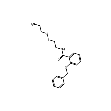 NCCSSCCNC(=O)c1ccccc1OCc1ccccc1